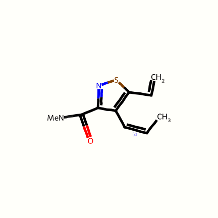 C=Cc1snc(C(=O)NC)c1/C=C\C